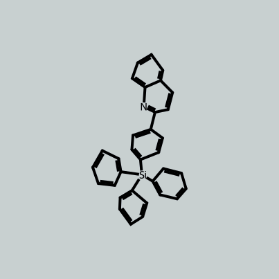 c1ccc([Si](c2ccccc2)(c2ccccc2)c2ccc(-c3ccc4ccccc4n3)cc2)cc1